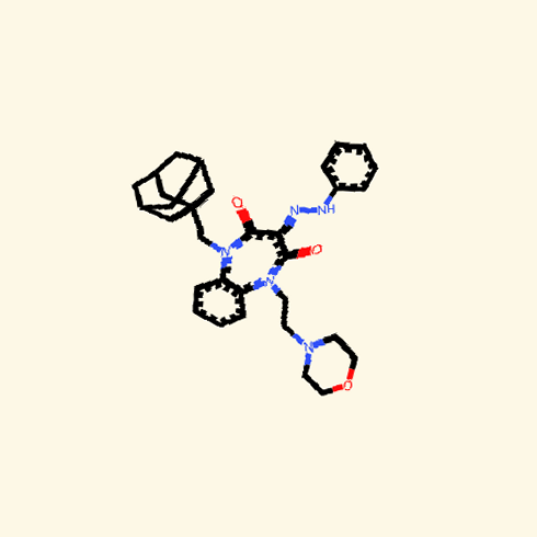 O=c1c(=NNc2ccccc2)c(=O)n(CC23CC4CC(CC(C4)C2)C3)c2ccccc2n1CCN1CCOCC1